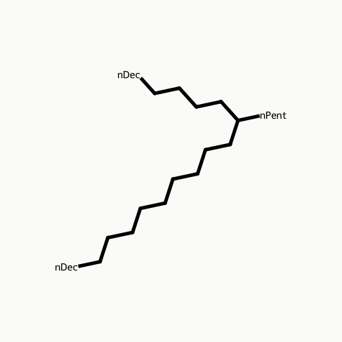 [CH2]CCCCC(CCCCCCCCCCCCCC)CCCCCCCCCCCCCCCCCCC